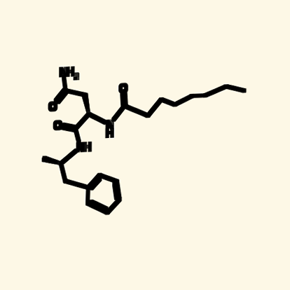 CCCCCCCC(=O)N[C@H](CC(N)=O)C(=O)N[C@H](C)Cc1ccccc1